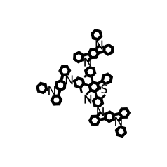 C/N=C\c1c(-c2ccc(-n3c4ccccc4c4cc5c(cc43)c3ccccc3n5-c3ccccc3)cc2C)c(-c2ccc(-n3c4ccccc4c4cc5c(cc43)c3ccccc3n5-c3ccccc3)cc2C)c2c(sc3ccccc32)c1-c1ccc(-n2c3ccccc3c3cc4c(cc32)c2ccccc2n4-c2ccccc2)cc1C